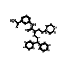 NC(=S)c1cccc(NC(=O)N(CCC(c2ccccc2)c2ccccc2)CCN2CCOCC2)c1